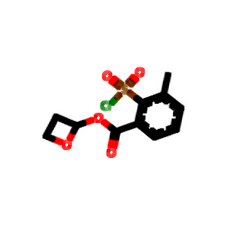 Cc1cccc(C(=O)OC2CCO2)c1S(=O)(=O)Cl